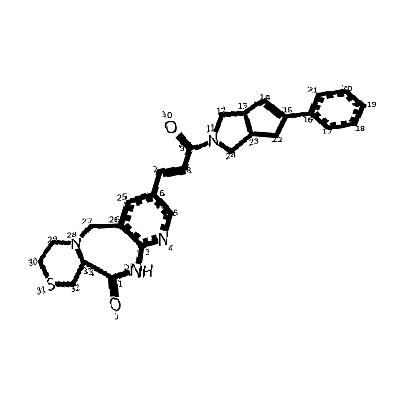 O=C1Nc2ncc(/C=C/C(=O)N3CC4C=C(c5ccccc5)CC4C3)cc2CN2CCSCC12